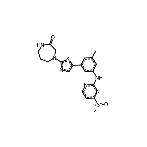 Cc1cc(Nc2nccc([S@@+](C)[O-])n2)cc(-c2cnc(N3CCCNC(=O)C3)s2)c1